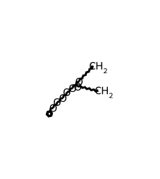 C=CCCCCCCCOCC(COCCOCCOCCOCCOCc1ccccc1)OCCCCCCCC=C